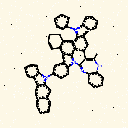 CC1=C(c2ccc3c(c2)c2ccccc2n3-c2ccccc2)C(n2c3ccc(-n4c5ccccc5c5cc6ccccc6cc54)cc3c3c4c(ccc32)CCC=C4)=Nc2ccccc2N1